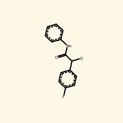 O=C(Nc1ccccc1)C(Cl)c1ccc(F)cc1